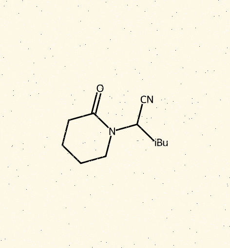 CCC(C)C(C#N)N1CCCCC1=O